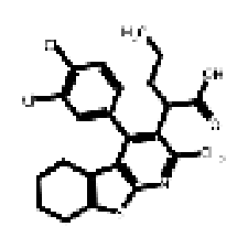 CCCC(C(=O)O)c1c(C)nc2sc3c(c2c1-c1ccc(Cl)c(Cl)c1)CCCC3